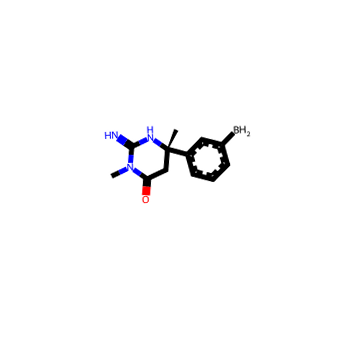 Bc1cccc([C@]2(C)CC(=O)N(C)C(=N)N2)c1